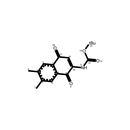 Cc1cc2c(cc1C)C(=O)C(NC(=O)OC(C)(C)C)=CC2=O